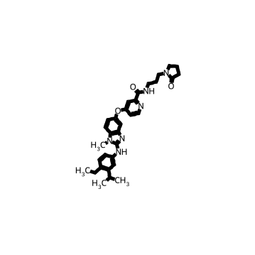 CCc1ccc(Nc2nc3cc(Oc4ccnc(C(=O)NCCCN5CCCC5=O)c4)ccc3n2C)cc1C(C)C